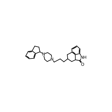 O=C1Nc2cccc3c2C1CC(CCCN1CCN(C2CCc4ccccc42)CC1)C3